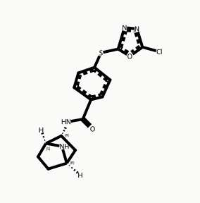 O=C(N[C@@H]1C[C@H]2CC[C@@H]1N2)c1ccc(Sc2nnc(Cl)o2)cc1